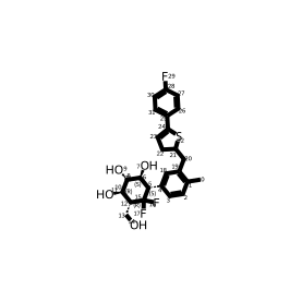 Cc1ccc([C@H]2[C@H](O)[C@@H](O)[C@H](O)[C@@H](CO)C2(F)F)cc1CC1CC=C(c2ccc(F)cc2)S1